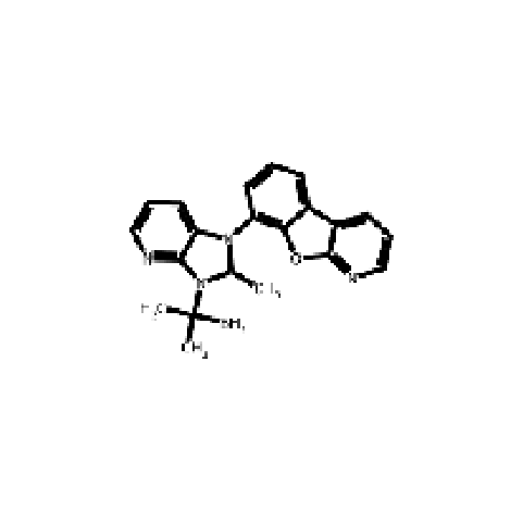 BC(C)(C)N1c2ncccc2N(c2cccc3c2oc2ncccc23)C1C